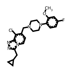 COc1cc(F)ccc1N1CCN(Cc2ccn3c(CC4CC4)nnc3c2Cl)CC1